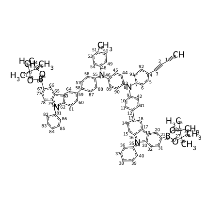 C#CC#Cc1ccc(N(c2ccc(-c3ccc4c(c3)c3cc(B5OC(C)(C)C(C)(C)O5)ccc3n4-c3ccccc3)cc2)c2ccc(N(c3ccc(C)cc3)c3ccc(-c4ccc5c(c4)c4cc(B6OC(C)(C)C(C)(C)O6)ccc4n5-c4ccccc4)cc3)cc2)cc1